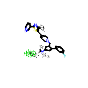 CCc1nc(-c2cccnc2)sc1C1CCN(CC2CC(N(C)[C@@H](C(=O)O)C(C)C)CC2c2cccc(F)c2)CC1.Cl.Cl.Cl